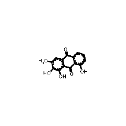 Cc1cc2c(c(O)c1O)C(=O)c1c(O)cccc1C2=O